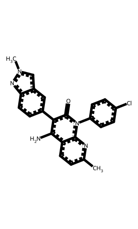 Cc1ccc2c(N)c(-c3ccc4nn(C)cc4c3)c(=O)n(-c3ccc(Cl)cc3)c2n1